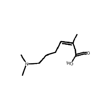 CC(=CCCCN(C)C)C(=O)O